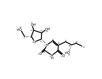 O=c1[nH]c(=O)n([C@@H]2O[C@H](CO)C(O)C2O)cc1C[C@@H](O)CI